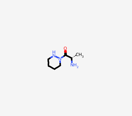 C[C@H](N)C(=O)N1CCCCN1